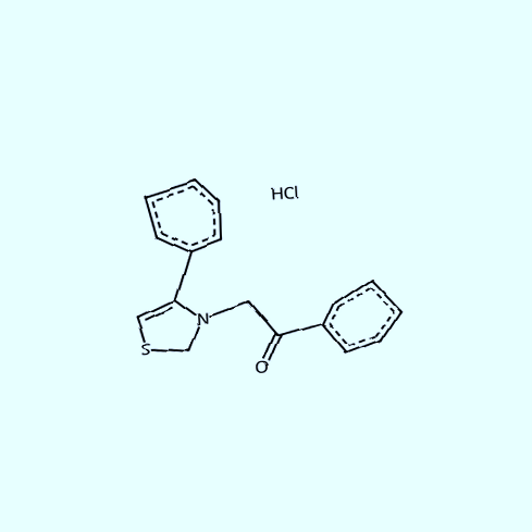 Cl.O=C(CN1CSC=C1c1ccccc1)c1ccccc1